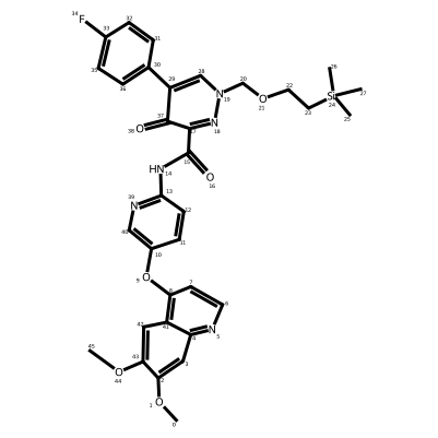 COc1cc2nccc(Oc3ccc(NC(=O)c4nn(COCC[Si](C)(C)C)cc(-c5ccc(F)cc5)c4=O)nc3)c2cc1OC